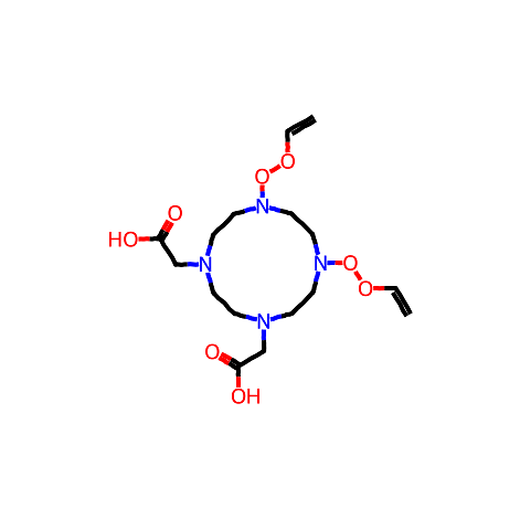 C=COON1CCN(CC(=O)O)CCN(CC(=O)O)CCN(OOC=C)CC1